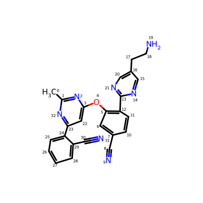 Cc1nc(Oc2cc(C#N)ccc2-c2ncc(CCN)cn2)cc(-c2ccccc2C#N)n1